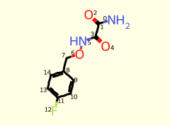 NC(=O)C(=O)NOCc1ccc(F)cc1